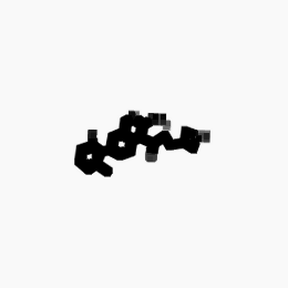 Cc1cccc(F)c1-c1ccc2c(C(=O)CCC3CNC3)c(N)ncc2c1